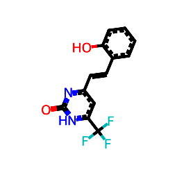 O=c1nc(C=Cc2ccccc2O)cc(C(F)(F)F)[nH]1